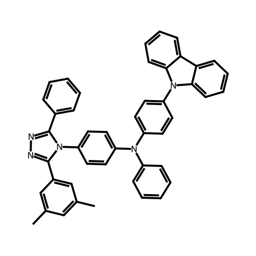 Cc1cc(C)cc(-c2nnc(-c3ccccc3)n2-c2ccc(N(c3ccccc3)c3ccc(-n4c5ccccc5c5ccccc54)cc3)cc2)c1